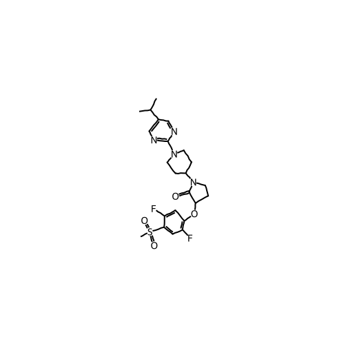 CC(C)c1cnc(N2CCC(N3CCC(Oc4cc(F)c(S(C)(=O)=O)cc4F)C3=O)CC2)nc1